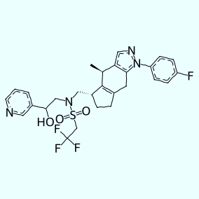 C[C@@H]1C2=C(CC[C@@H]2CN(CC(O)c2cccnc2)S(=O)(=O)CC(F)(F)F)Cc2c1cnn2-c1ccc(F)cc1